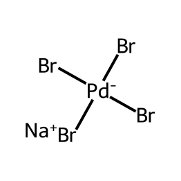 [Br][Pd-]([Br])([Br])[Br].[Na+]